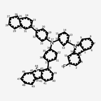 Fc1ccc2c3ccccc3n(-c3cccc(N(c4ccc(-c5ccc6ccccc6c5)cc4)c4ccc(-c5cccc6c5sc5ccccc56)cc4)c3)c2c1